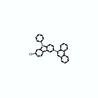 Clc1ccc2c3cc(-c4cc5ccccc5c5ccccc45)ccc3n(-c3ccccc3)c2c1